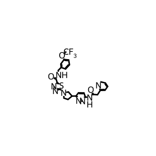 O=C(Cc1ccccn1)Nc1ccc(C2CCN(c3nnc(C(=O)NCc4cccc(OC(F)(F)F)c4)s3)C2)nn1